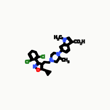 CC1CN(CCc2c(C3=C(Cl)CCC=C3Cl)noc2C2CC2)CCN1c1ccc2c(C(=O)O)cn(C)c2c1